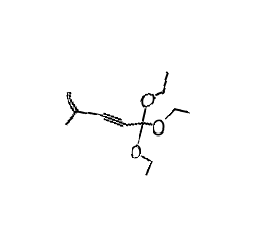 C=C(C)C#CC(OCC)(OCC)OCC